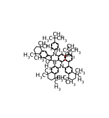 Cc1cc2c3c(c1)N(c1ccc(C(C)(C)C)cc1)c1c(oc4cc5c(cc14)C(C)(C)CCC5(C)C)B3c1cc3c(cc1N2c1cc2c(cc1-c1ccc([Si](C)(C)C)cc1)C(C)(C)CCC2(C)C)C(C)(C)CCC3(C)C